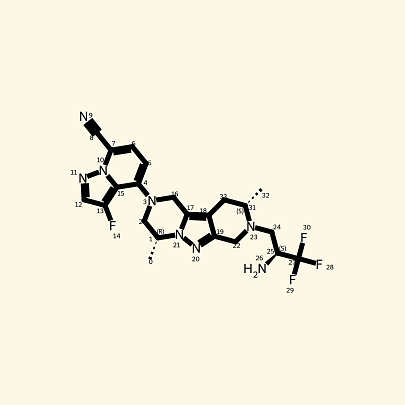 C[C@@H]1CN(c2ccc(C#N)n3ncc(F)c23)Cc2c3c(nn21)CN(C[C@H](N)C(F)(F)F)[C@@H](C)C3